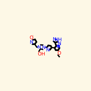 CCOc1cc(-c2ccc(N3CCN(Cc4ccc(OC)nc4)C(CO)C3)nc2)c2c3cn[nH]c3nn2c1